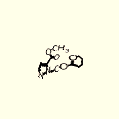 COC(=O)c1ccnn1CCOC1CCCCO1